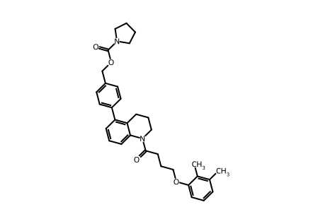 Cc1cccc(OCCCC(=O)N2CCCc3c(-c4ccc(COC(=O)N5CCCC5)cc4)cccc32)c1C